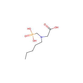 CCCCCN(CC(=O)O)CP(=O)(O)O